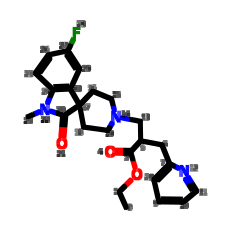 CCOC(=O)C(Cc1ccccn1)CN1CCC2(CC1)C(=O)N(C)c1ccc(F)cc12